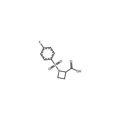 O=C(O)C1CCN1S(=O)(=O)c1ccc(F)cc1